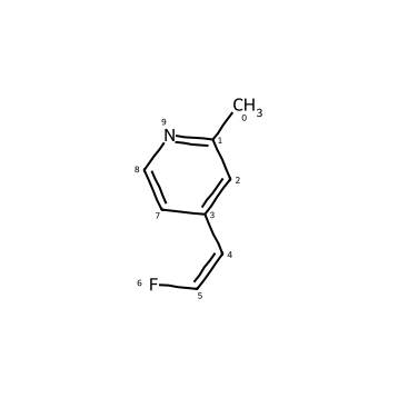 Cc1cc(/C=C\F)ccn1